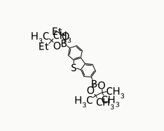 CCOB(OC(C)(C)CC)c1ccc2c(c1)sc1cc(B3OC(C)(C)C(C)(C)O3)ccc12